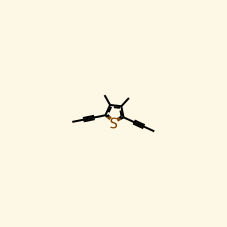 CC#Cc1sc(C#CC)c(C)c1C